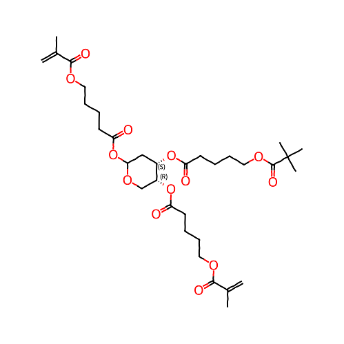 C=C(C)C(=O)OCCCCC(=O)OC1C[C@H](OC(=O)CCCCOC(=O)C(C)(C)C)[C@H](OC(=O)CCCCOC(=O)C(=C)C)CO1